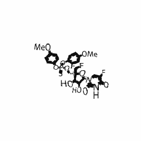 COc1ccc(OP(=S)(OC[C@]2(C(F)F)O[C@H](n3cc(F)c(=O)[nH]c3=O)C(O)C2O)Oc2ccc(OC)cc2)cc1